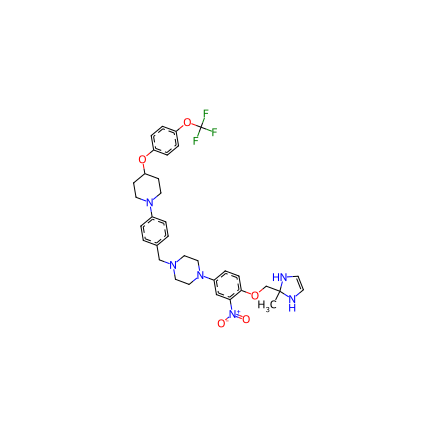 CC1(COc2ccc(N3CCN(Cc4ccc(N5CCC(Oc6ccc(OC(F)(F)F)cc6)CC5)cc4)CC3)cc2[N+](=O)[O-])NC=CN1